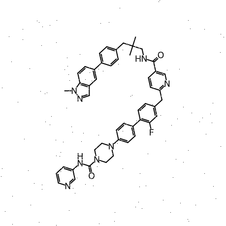 Cn1ncc2cc(-c3ccc(CC(C)(C)CNC(=O)c4ccc(Cc5ccc(-c6ccc(N7CCN(C(=O)Nc8cccnc8)CC7)cc6)c(F)c5)nc4)cc3)ccc21